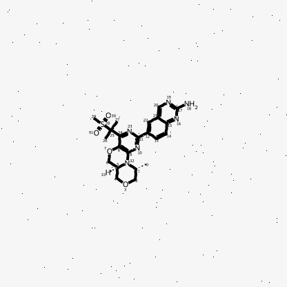 C[C@@H]1COC[C@H]2COc3c(nc(-c4ccc5nc(N)ncc5c4)nc3C(C)(C)S(C)(=O)=O)N21